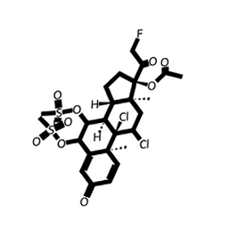 CC(=O)O[C@]1(C(=O)CF)CC[C@H]2[C@@H]3C(OS(C)(=O)=O)C(OS(C)(=O)=O)C4=CC(=O)C=C[C@]4(C)[C@@]3(Cl)C(Cl)C[C@@]21C